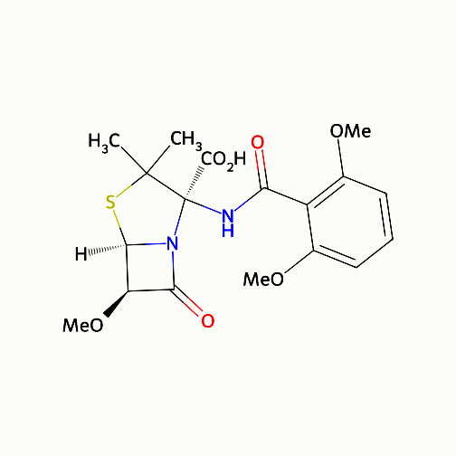 COc1cccc(OC)c1C(=O)N[C@@]1(C(=O)O)N2C(=O)[C@@H](OC)[C@H]2SC1(C)C